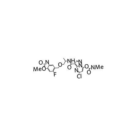 CNC(=O)Oc1cc(Cl)nc2c(C(=O)NC(C)COCc3cc([N+](=O)[O-])c(OC)cc3F)cnn12